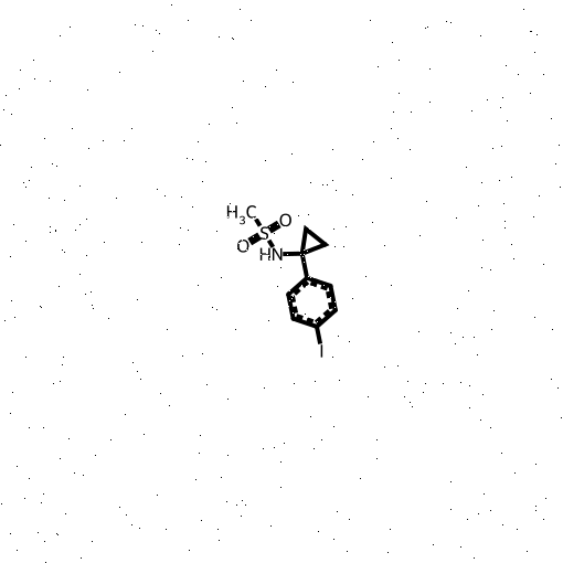 CS(=O)(=O)NC1(c2ccc(I)cc2)CC1